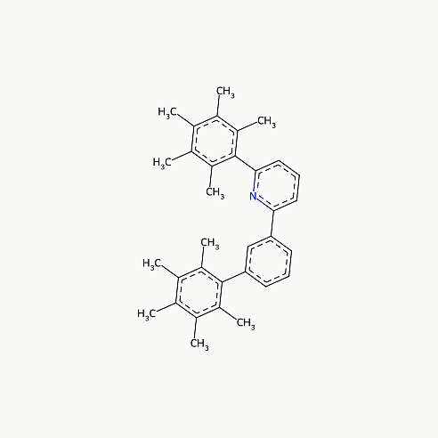 Cc1c(C)c(C)c(-c2cccc(-c3cccc(-c4c(C)c(C)c(C)c(C)c4C)n3)c2)c(C)c1C